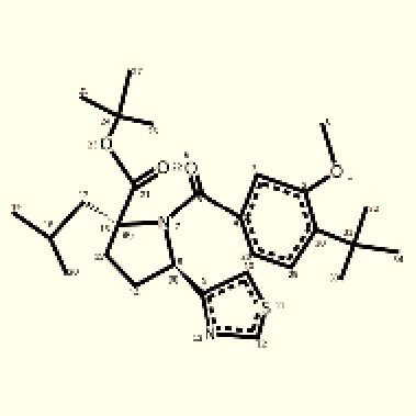 COc1cc(C(=O)N2[C@@H](c3cscn3)CC[C@@]2(CC(C)C)C(=O)OC(C)(C)C)ccc1C(C)(C)C